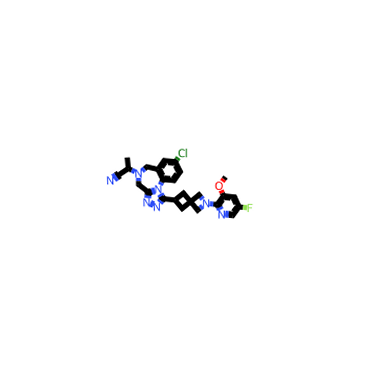 COc1cc(F)cnc1N1CC2(CC(c3nnc4n3-c3ccc(Cl)cc3CN(C(C)C#N)C4)C2)C1